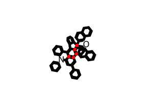 C1=Cc2c(ccc3c2Oc2c(ccc4ccccc24)C32c3ccccc3-c3c(-c4ccccc4N(c4ccccc4)c4cc(-c5ccccc5)cc(-c5ccccc5)c4)cccc32)CC1